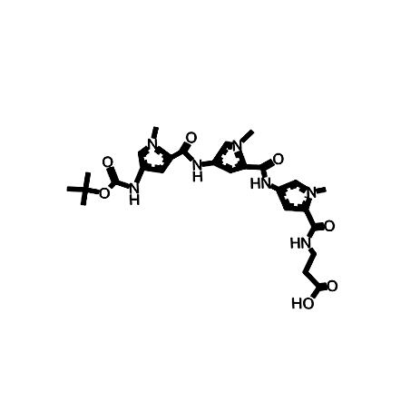 Cn1cc(NC(=O)c2cc(NC(=O)c3cc(NC(=O)OC(C)(C)C)cn3C)cn2C)cc1C(=O)NCCC(=O)O